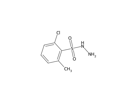 Cc1cccc(Cl)c1S(=O)(=O)NN